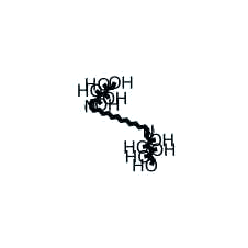 CN(CCCCCCCCCCCCN(C)CC(O)C(O)C(O)C(O)CO)CC(O)C(O)C(O)C(O)CO